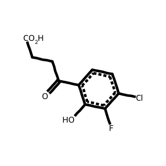 O=C(O)CCC(=O)c1ccc(Cl)c(F)c1O